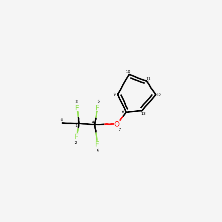 CC(F)(F)C(F)(F)Oc1cc[c]cc1